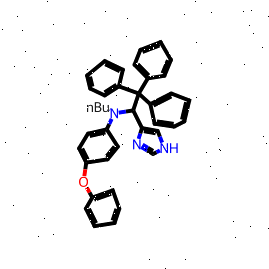 CCCCN(c1ccc(Oc2ccccc2)cc1)C(c1c[nH]cn1)C(c1ccccc1)(c1ccccc1)c1ccccc1